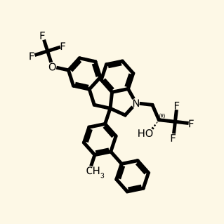 Cc1ccc(C2(Cc3cccc(OC(F)(F)F)c3)CN(C[C@@H](O)C(F)(F)F)c3ccccc32)cc1-c1ccccc1